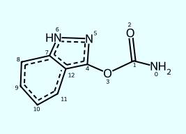 NC(=O)Oc1n[nH]c2ccccc12